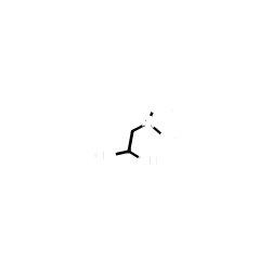 CC(C=O)C[N+](C)C